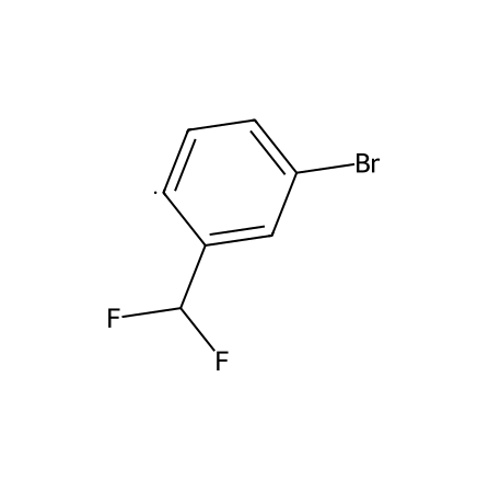 FC(F)c1[c]ccc(Br)c1